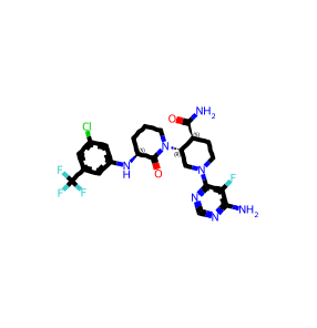 NC(=O)[C@H]1CCN(c2ncnc(N)c2F)C[C@@H]1N1CCC[C@H](Nc2cc(Cl)cc(C(F)(F)F)c2)C1=O